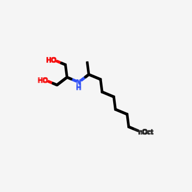 CCCCCCCCCCCCCCC(C)NC(CO)CO